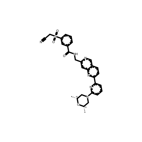 C[C@@H]1CN(c2cccc(-c3ccc4cnc(CNC(=O)c5cccc(S(=O)(=O)CC#N)c5)cc4n3)n2)C[C@H](C)O1